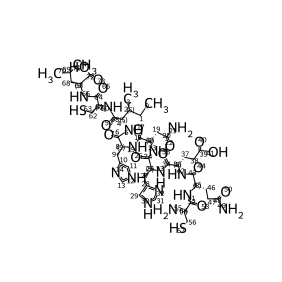 CC[C@H](C)[C@H](NC(=O)[C@H](Cc1c[nH]cn1)NC(=O)[C@H](CC(N)=O)NC(=O)[C@H](Cc1c[nH]cn1)NC(=O)[C@H](CCC(=O)O)NC(=O)[C@H](CCC(N)=O)NC(=O)[C@@H](N)CS)C(=O)N[C@@H](CS)C(=O)N[C@@H](CC(C)C)C(=O)O